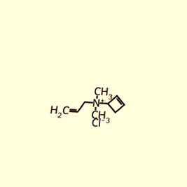 C=CC[N+](C)(C)C1C=CC1.[Cl-]